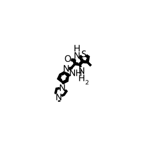 Cc1csc2[nH]c(=O)c(-c3nc4ccc(N5CCN(C)CC5)cc4[nH]3)c(N)c12